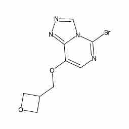 Brc1ncc(OCC2COC2)c2nncn12